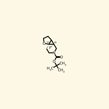 CC(C)(C)OC(=O)N1CC[C@]23OCCC2[C@@]3(F)C1